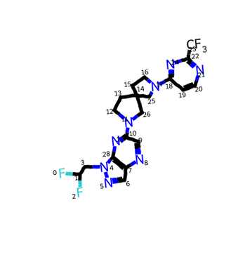 FC(F)Cn1ncc2ncc(N3CCC4(CCN(c5ccnc(C(F)(F)F)n5)C4)C3)nc21